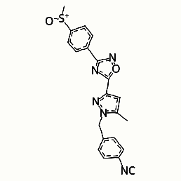 [C-]#[N+]c1ccc(Cn2nc(-c3nc(-c4ccc([S+](C)[O-])cc4)no3)cc2C)cc1